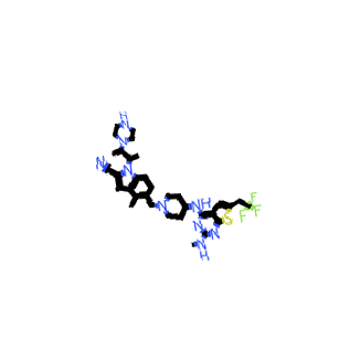 CNc1nc(NC2CCN(Cc3ccc4c(cc(C#N)n4C(C)C(C)N4CCNCC4)c3C)CC2)c2cc(CC(F)(F)F)sc2n1